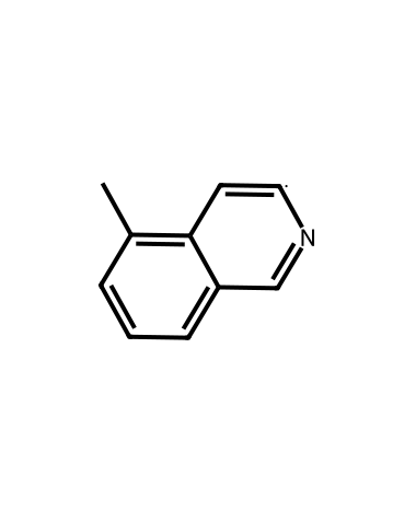 Cc1cccc2cn[c]cc12